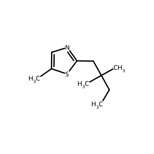 CCC(C)(C)Cc1ncc(C)s1